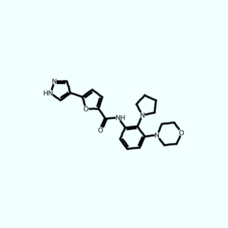 O=C(Nc1cccc(N2CCOCC2)c1N1CCCC1)c1ccc(-c2cn[nH]c2)o1